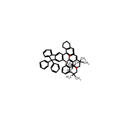 CC1(C)CCC(C)(C)c2c(N(c3cc4c(cc3-c3cccc5c3CCCC5)-c3ccccc3C4(c3ccccc3)c3ccccc3)c3cccc4c3C(C)(C)CCC4(C)C)cccc21